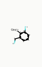 O=Cc1c(F)cccc1CF